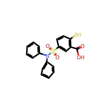 O=C(O)c1cc(S(=O)(=O)N(c2ccccc2)c2ccccc2)ccc1S